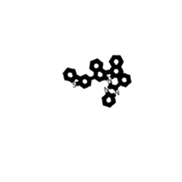 c1ccc(-c2nc3ccccc3nc2-n2c3ccc4ccccc4c3c3c4ccccc4c(-c4ccc5sc6ccccc6c5c4)cc32)cc1